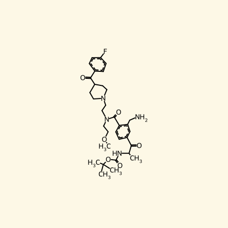 COCCN(CCN1CCC(C(=O)c2ccc(F)cc2)CC1)C(=O)c1ccc(C(=O)C(C)NC(=O)OC(C)(C)C)cc1CN